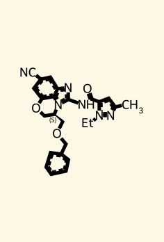 CCn1nc(C)cc1C(=O)Nc1nc2cc(C#N)cc3c2n1[C@@H](COCc1ccccc1)CO3